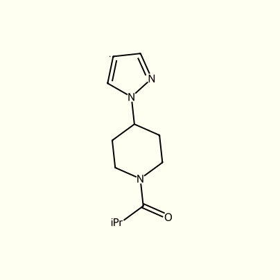 CC(C)C(=O)N1CCC(n2c[c]cn2)CC1